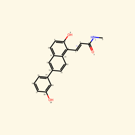 CNC(=O)/C=C/c1c(O)ccc2cc(-c3cccc(O)c3)ccc12